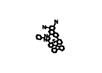 N#Cc1cc(C#N)cc(-c2ccc(-c3cccc4c3Sc3c(-c5cc(-c6ccccc6)nc(-c6ccccc6)n5)cccc3C43c4ccccc4-c4ccccc43)cc2)c1